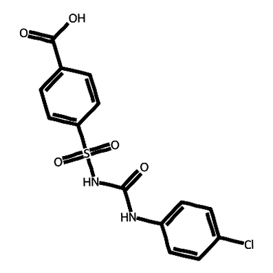 O=C(Nc1ccc(Cl)cc1)NS(=O)(=O)c1ccc(C(=O)O)cc1